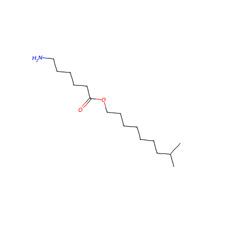 CC(C)CCCCCCCOC(=O)CCCCCN